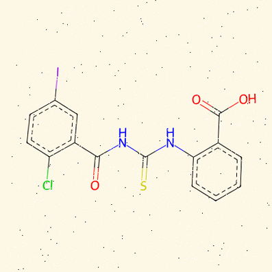 O=C(NC(=S)Nc1ccccc1C(=O)O)c1cc(I)ccc1Cl